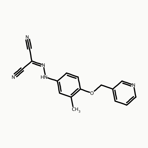 Cc1cc(NN=C(C#N)C#N)ccc1OCc1cccnc1